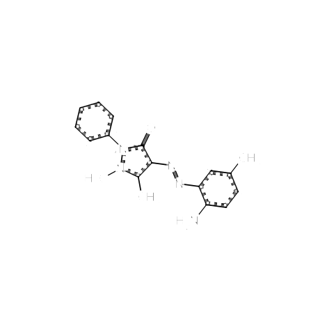 Cc1ccc(N)c(N=Nc2c(C)n(C)n(-c3ccccc3)c2=O)c1